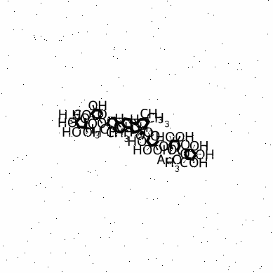 CC(=O)OC[C@H]1O[C@@H](OC[C@H]2O[C@@H](OC(=O)[C@]34CCC(C)(C)C[C@H]3C3=CC[C@H]5[C@@H](CC[C@H]6C(C)(C)[C@@H](O[C@@H]7OC[C@H](O)[C@H](O)[C@H]7O[C@@H]7O[C@@H](C)[C@H](O)[C@@H](O)[C@H]7O)CC[C@]56C)[C@]3(C)CC4)[C@H](O)[C@@H](O)[C@@H]2O)[C@H](O)[C@@H](O)[C@@H]1O[C@@H]1O[C@@H](C)[C@H](O)[C@@H](O)[C@H]1O